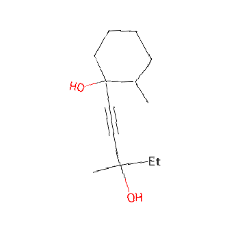 CCC(C)(O)C#CC1(O)CCCCC1C